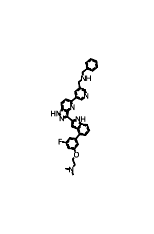 CN(C)CCOc1cc(F)cc(-c2cccc3[nH]c(-c4n[nH]c5ccc(-c6cncc(CNCc7ccccc7)c6)nc45)cc23)c1